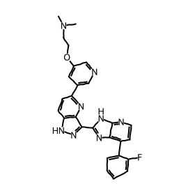 CN(C)CCOc1cncc(-c2ccc3[nH]nc(-c4nc5c(-c6ccccc6F)ccnc5[nH]4)c3n2)c1